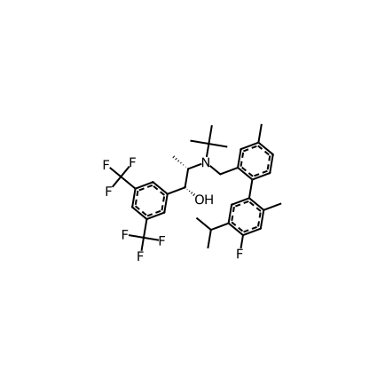 Cc1ccc(-c2cc(C(C)C)c(F)cc2C)c(CN([C@@H](C)[C@H](O)c2cc(C(F)(F)F)cc(C(F)(F)F)c2)C(C)(C)C)c1